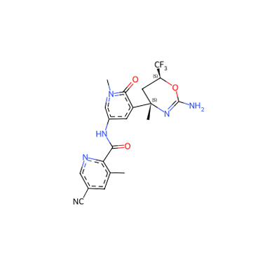 Cc1cc(C#N)cnc1C(=O)Nc1cc([C@]2(C)C[C@@H](C(F)(F)F)OC(N)=N2)c(=O)n(C)c1